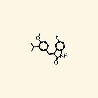 COc1ccc(/C=C2/C(=O)Nc3ccc(F)cc32)cc1C(C)C